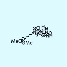 COP(OC)OCCCCCCNC(=O)C(C)(C)CC(C)(C)C1SCC2NC(=O)NC21